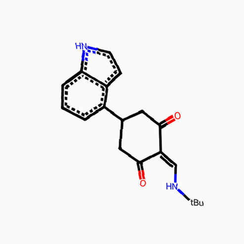 CC(C)(C)NC=C1C(=O)CC(c2cccc3[nH]ccc23)CC1=O